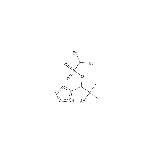 CCN(CC)S(=O)(=O)OC(c1ccc[nH]1)C(C)(C)C(C)=O